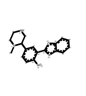 CN1CCNCC1c1ccc([N+](=O)[O-])c(-c2nc3ccccc3o2)c1